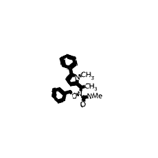 CNC(=O)N(OCc1ccccc1)C(C)c1ccc(-c2ccccc2)n1C